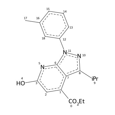 CCOC(=O)c1cc(O)nc2c1c(C(C)C)nn2-c1cccc(C)c1